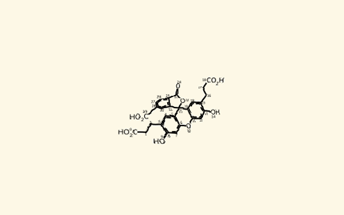 O=C(O)CCc1cc2c(cc1O)Oc1cc(O)c(CCC(=O)O)cc1C21OC(=O)c2ccc(C(=O)O)cc21